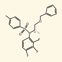 Cc1ccc(S(=O)(=O)N(c2ccc(F)c(F)c2F)[C@@H](C)COCc2ccccc2)cc1